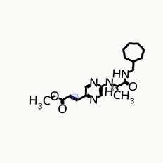 COC(=O)/C=C/c1cnc(N[C@H](C)C(=O)NCC2CCCCCC2)cn1